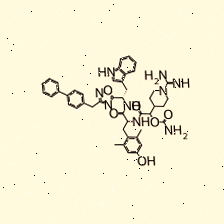 Cc1cc(O)cc(C)c1CC(NC(=O)[C@H](OC(N)=O)C1CCN(C(=N)N)CC1)C(=O)N[C@@H](Cc1c[nH]c2ccccc12)c1nc(Cc2ccc(-c3ccccc3)cc2)no1